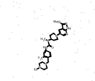 CCN1CCN(Cc2ccc(NC(=O)N(C)C3CCN(c4cnc5[nH]nc(OC)c5c4)CC3)cc2C(F)(F)F)CC1